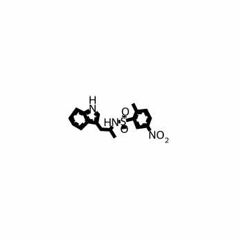 Cc1ccc([N+](=O)[O-])cc1S(=O)(=O)NC(C)Cc1c[nH]c2ccccc12